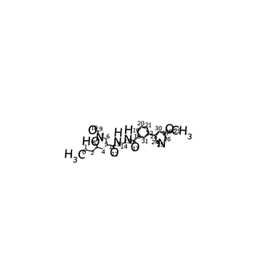 CCCCC[C@H](CN(O)C=O)C(=O)NCNC(=O)c1cccc(-c2cncc(OC)c2)c1